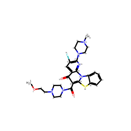 COCCN1CCN(C(=O)c2c(=O)c3cc(F)c(N4CCN(C)CC4)nc3n3c2sc2ccccc23)CC1